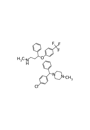 CN1CCN(C(c2ccccc2)c2ccc(Cl)cc2)CC1.CNCCC(Oc1ccc(C(F)(F)F)cc1)c1ccccc1